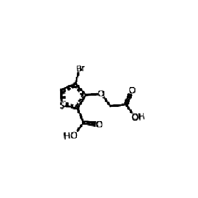 O=C(O)COc1c(Br)csc1C(=O)O